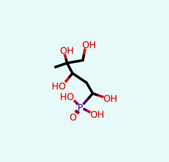 CC(O)(CO)C(O)CC(O)P(=O)(O)O